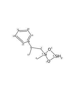 CC(C[Si]1(C)O[SiH2]O1)c1ccccc1